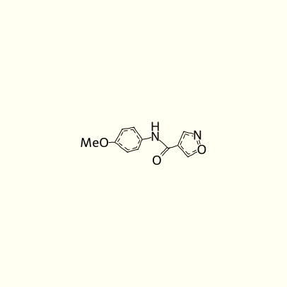 COc1ccc(NC(=O)c2cnoc2)cc1